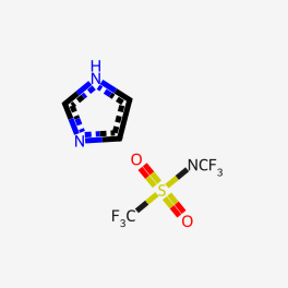 O=S(=O)(NC(F)(F)F)C(F)(F)F.c1c[nH]cn1